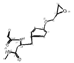 CNC(=O)C(Cc1ccc(OCC2CO2)cc1)NC(C)=O